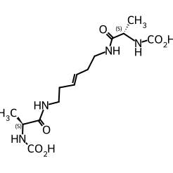 C[C@H](NC(=O)O)C(=O)NCCC=CCCNC(=O)[C@H](C)NC(=O)O